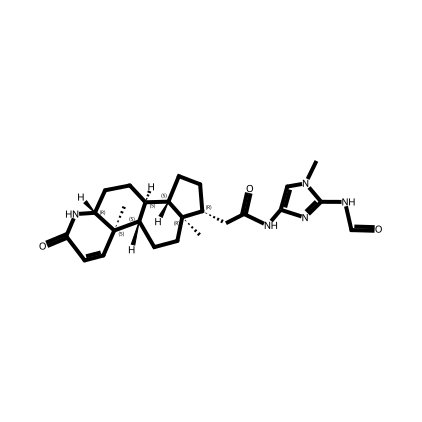 Cn1cc(NC(=O)C[C@H]2CC[C@H]3[C@@H]4CC[C@H]5NC(=O)C=C[C@]5(C)[C@H]4CC[C@]23C)nc1NC=O